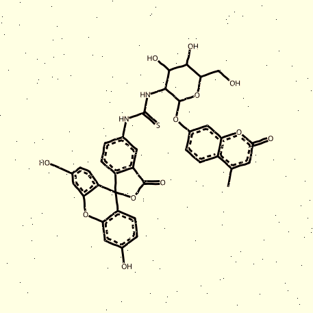 Cc1cc(=O)oc2cc(OC3OC(CO)C(O)C(O)C3NC(=S)Nc3ccc4c(c3)C(=O)OC43c4ccc(O)cc4Oc4cc(O)ccc43)ccc12